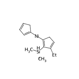 CCC1=CC[C]([Ni][C]2=CC=CC2)=C1[SiH](C)C